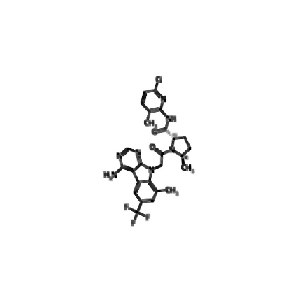 Cc1ccc(Cl)nc1NC(=O)[C@@H]1CC[C@@H](C)N1C(=O)Cn1c2ncnc(N)c2c2cc(C(F)(F)F)cc(C)c21